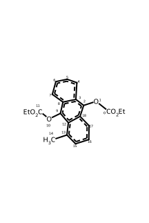 CCOC(=O)Oc1c2ccccc2c(OC(=O)OCC)c2c(C)cccc12